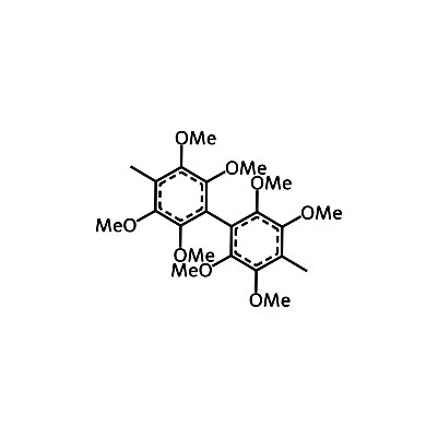 COc1c(C)c(OC)c(OC)c(-c2c(OC)c(OC)c(C)c(OC)c2OC)c1OC